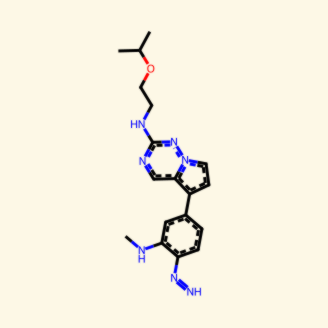 CNc1cc(-c2ccn3nc(NCCOC(C)C)ncc23)ccc1N=N